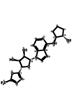 O[C@@H]1[C@H](O)[C@@H](c2nnc(C(F)(F)F)o2)O[C@H]1n1cnc2c(N[C@H]3CCC[C@@H]3O)ncnc21